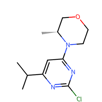 CC(C)c1cc(N2CCOC[C@H]2C)nc(Cl)n1